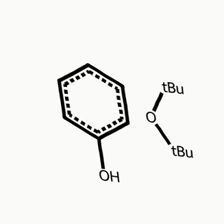 CC(C)(C)OC(C)(C)C.Oc1ccccc1